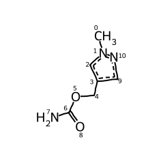 Cn1cc(COC(N)=O)cn1